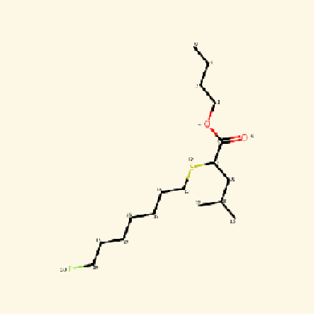 CCCCOC(=O)C(CC(C)C)SCCCCCCCF